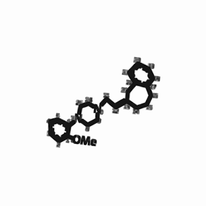 COc1ccccc1N1CCN(CC=C2CCCc3ccccc3C2)CC1